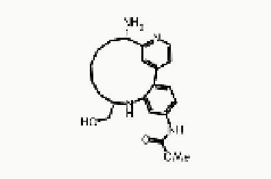 COC(=O)Nc1ccc2c(c1)N[C@@H](CO)CCCCC[C@H](N)c1cc-2ccn1